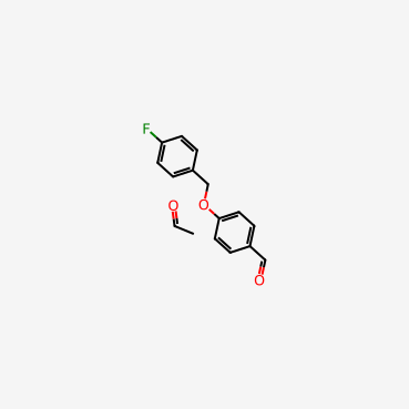 CC=O.O=Cc1ccc(OCc2ccc(F)cc2)cc1